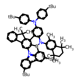 Cc1cc2c(cc1N1B3c4c(cc5c(c4-c4cc(N(c6ccc(C(C)(C)C)cc6)c6ccc(C(C)(C)C)cc6)ccc41)C(C)(C)c1ccccc1-5)-n1c4ccc(C(C)(C)C)cc4c4cc(C(C)(C)C)cc3c41)C(C)(C)CCC2(C)C